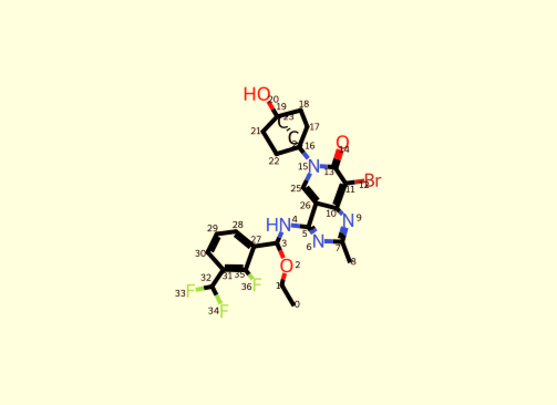 CCOC(Nc1nc(C)nc2c(Br)c(=O)n(C34CCC(O)(CC3)CC4)cc12)c1cccc(C(F)F)c1F